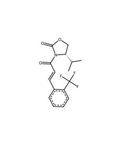 CC(C)[C@H]1COC(=O)N1C(=O)/C=C/c1ccccc1C(F)(F)F